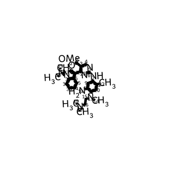 COC(=O)c1cnc(Nc2cc(N)c(N(C)CCN(C)C)cc2C)nc1-c1cn(N(C)C)c2ccccc12